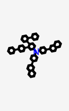 c1ccc(-c2ccc(-c3cc(N(c4ccc(-c5ccc6ccccc6c5)cc4)c4ccc(-c5ccc6ccccc6c5)cc4)ccc3-c3ccccc3-c3ccccc3)cc2)cc1